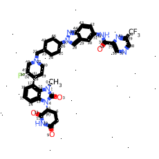 Cn1c(=O)n([C@@H]2CCC(=O)NC2=O)c2cccc([C@@H]3CCN(CC4CCC(n5cc6cc(NC(=O)c7cncc(C(F)(F)F)n7)ccc6n5)CC4)C[C@H]3F)c21